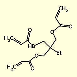 C=CC(=O)BCC(CC)(COC(=O)C=C)COC(=O)C=C